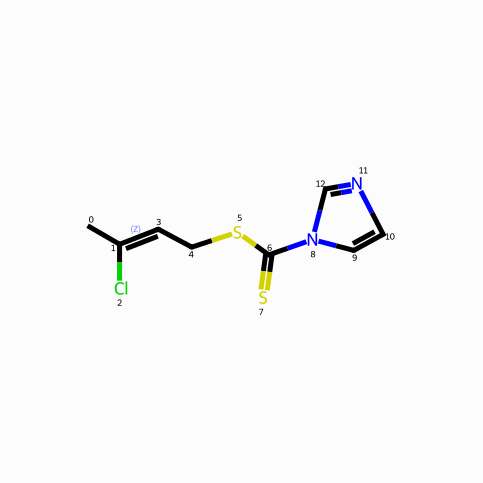 C/C(Cl)=C/CSC(=S)n1ccnc1